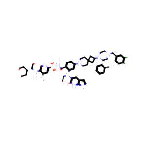 CC(C)c1ccccc1[C@@H]1CN(Cc2ccc(F)c(F)c2)CCN1C1CC2(CCN(c3ccc(C(=O)NS(=O)(=O)c4cc([N+](=O)[O-])c5c(n4)OC[C@@H](C4CCOCC4)N5)c(N4CCOc5nc6[nH]ccc6cc54)c3)CC2)C1